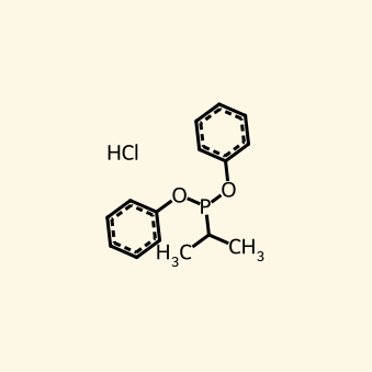 CC(C)P(Oc1ccccc1)Oc1ccccc1.Cl